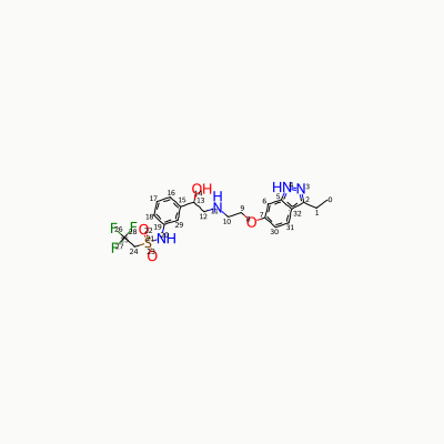 CCc1n[nH]c2cc(OCCNC[C@H](O)c3cccc(NS(=O)(=O)CC(F)(F)F)c3)ccc12